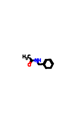 CC(=O)NCC1=CC=CCC1